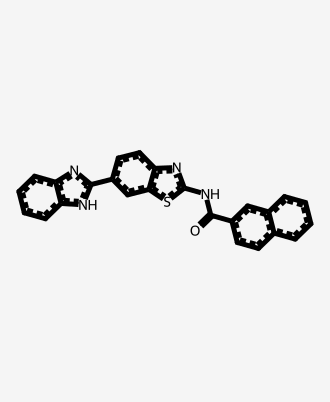 O=C(Nc1nc2ccc(-c3nc4ccccc4[nH]3)cc2s1)c1ccc2ccccc2c1